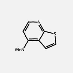 CNc1ccnc2sccc12